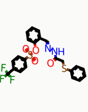 O=C(CSc1ccccc1)NN=Cc1ccccc1OS(=O)(=O)c1ccc(C(F)(F)F)cc1